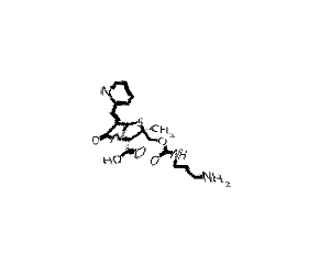 C[C@@]1(COC(=O)NCCCN)SC2/C(=C\c3ccccn3)C(=O)N2[C@H]1C(=O)O